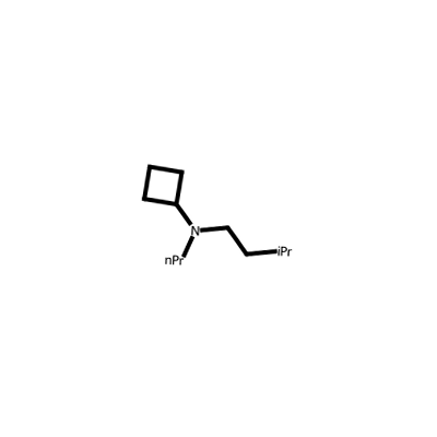 CCCN(CCC(C)C)C1CCC1